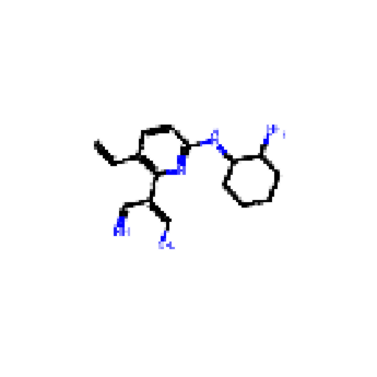 C=Cc1ccc(NC2CCCCC2N)nc1/C(C=N)=C/N